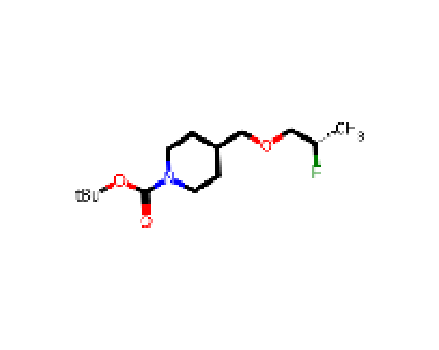 C[C@H](F)COCC1CCN(C(=O)OC(C)(C)C)CC1